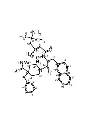 CNC(=O)C1(Cc2ccccc2)CCN(C(=O)C(Cc2ccc3ccccc3c2)N(C)C(=O)/C=C(\C)CC(C)(C)N)CC1